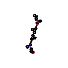 CC1(C)c2ccccc2-c2ccc(-n3c4ccccc4c4cc(/C=C/c5ccc6c(c5)C5(CCCC5)c5cc(-c7ccc8c(c7)C7(CCCC7)c7cc(/C=C/c9ccc%10c(c9)c9ccccc9n%10-c9ccc%10c(c9)C(C)(C)c9ccccc9-%10)ccc7-8)ccc5-6)ccc43)cc21